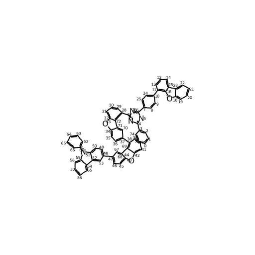 c1ccc(-c2nc(-c3ccc(-c4cccc5c4oc4ccccc45)cc3)nc(-c3cccc4oc5ccc(-c6cccc7oc8ccc(-c9ccc%10c(c9)c9ccccc9n%10-c9ccccc9)cc8c67)cc5c34)n2)cc1